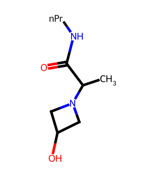 CCCNC(=O)C(C)N1CC(O)C1